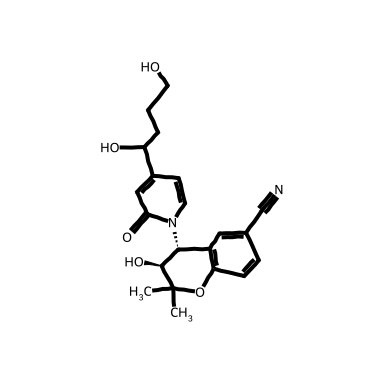 CC1(C)Oc2ccc(C#N)cc2[C@@H](n2ccc(C(O)CCCO)cc2=O)[C@@H]1O